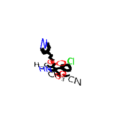 CC1=C(C(=O)OCC=Cc2ccncc2)C(c2cccc(Cl)c2)C(C(=O)OCCC#N)=C(C)N1